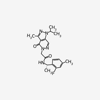 Cc1ccc([C@H](C)NC(=O)Cn2ncc3c(c(C)nn3C(C)C)c2=O)c(F)c1